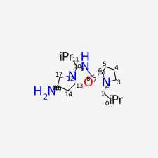 CC(C)CN1CCC[C@H]1C(=O)NC(C(C)C)N1CC[C@@H](N)C1